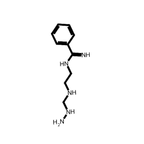 N=C(NCCNCNN)c1ccccc1